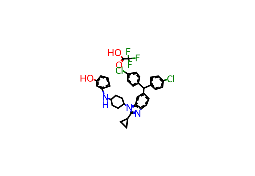 O=C(O)C(F)(F)F.Oc1cccc(NC2CCC(n3c(C4CC4)nc4ccc(C(c5ccc(Cl)cc5)c5ccc(Cl)cc5)cc43)CC2)c1